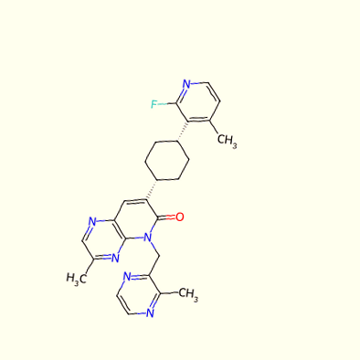 Cc1cnc2cc([C@H]3CC[C@@H](c4c(C)ccnc4F)CC3)c(=O)n(Cc3nccnc3C)c2n1